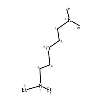 CCN(CC)CCOCCN(C)C